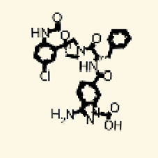 Nc1nn(C(=O)O)c2cc(C(=O)N[C@@H](Cc3ccccc3)C(=O)N3CC[C@@]4(C3)OC(=O)Nc3ccc(Cl)cc34)ccc12